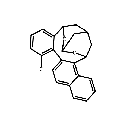 Clc1cccc2c1-c1ccc3ccccc3c1C1CC3CC(CC2C3)C1